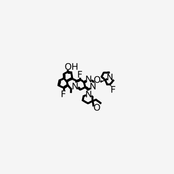 CCc1c(F)ccc2cc(O)cc(-c3ncc4c(N5CCCC6(CCOC6)C5)nc(OC[C@@]56CCCN5C[C@H](F)C6)nc4c3F)c12